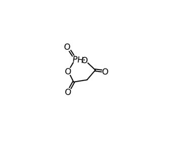 O=C1CC(=O)O[PH](=O)O1